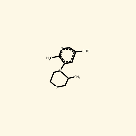 Cc1ncc(C=O)cc1N1CCOCC1C